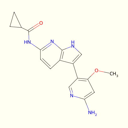 COc1cc(N)ncc1-c1c[nH]c2nc(NC(=O)C3CC3)ccc12